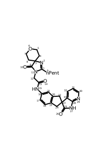 CCCCCC1=NC2(CCOCC2)C(=O)N1CC(=O)Nc1ccc2c(c1)CC1(C2)C(=O)Nc2ncccc21